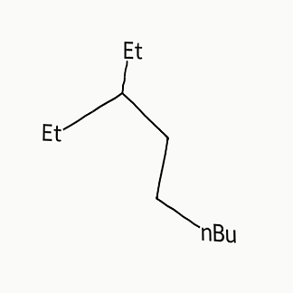 C[CH]CCCCC(CC)CC